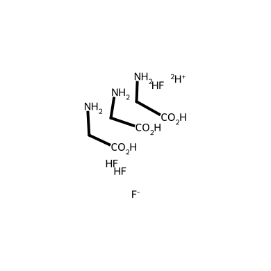 F.F.F.NCC(=O)O.NCC(=O)O.NCC(=O)O.[2H+].[F-]